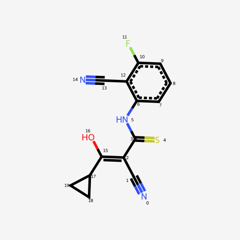 N#CC(C(=S)Nc1cccc(F)c1C#N)=C(O)C1CC1